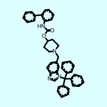 O=C(Nc1ccccc1-c1ccccc1)OC1CCN(Cc2ccc3ncn(C(c4ccccc4)(c4ccccc4)c4ccccc4)c3c2)CC1